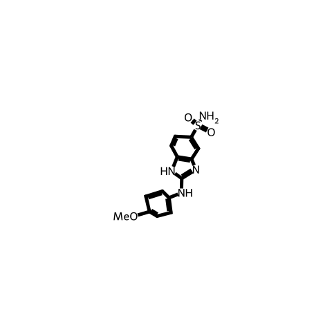 COc1ccc(Nc2nc3cc(S(N)(=O)=O)ccc3[nH]2)cc1